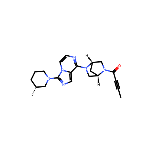 CC#CC(=O)N1C[C@@H]2C[C@H]1CN2c1nccn2c(N3CCC[C@@H](C)C3)ncc12